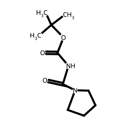 CC(C)(C)OC(=O)NC(=O)N1CCCC1